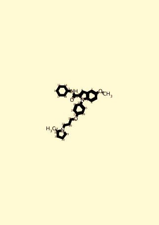 COc1ccc2c(c1)cc(C(=O)NC1CCCCC1)n2-c1ccc(OCCCN2CCC[C@H]2C)cc1